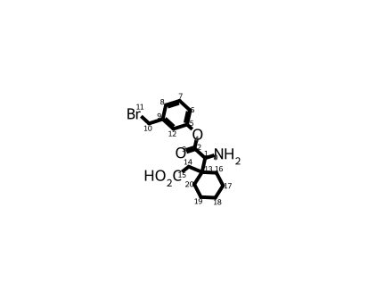 NC(C(=O)Oc1cccc(CBr)c1)C1(CC(=O)O)CCCCC1